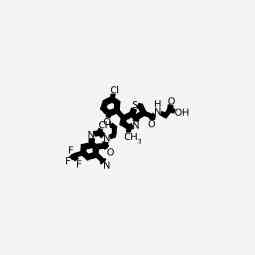 Cc1cc(-c2cc(Cl)ccc2OCCn2c(C)nc3cc(C(F)(F)F)cc(C#N)c3c2=O)c2scc(C(=O)NCC(=O)O)c2n1